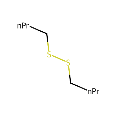 CCCCSSCCCC